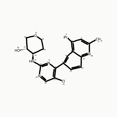 Cc1cc(C(C)C)c2cc(-c3nc(N[C@@H]4CCOC[C@H]4O)ncc3Cl)ccc2n1